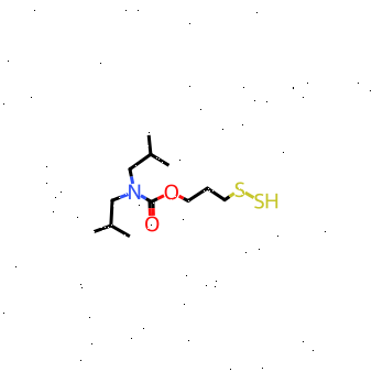 CC(C)CN(CC(C)C)C(=O)OCCCSS